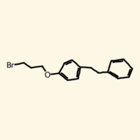 BrCCCOc1ccc(CCc2ccccc2)cc1